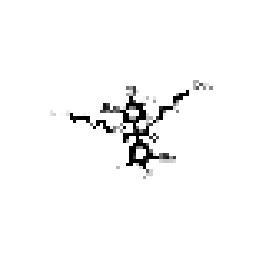 CCCCCCCCCCCCSCCOC(=O)C(C(=O)OCCSCCCCCCCCCCCC)(c1cc(C(C)(C)C)c(O)c(C(C)(C)C)c1)c1cc(C(C)(C)C)c(O)c(C(C)(C)C)c1